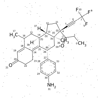 CCC(=O)[C@@]1(C#CC(F)(F)F)CC[C@H]2[C@@H]3CC(C)C4=CC(=O)CCC4=C3[C@@H](c3ccc(N)cc3)C[C@@]21C